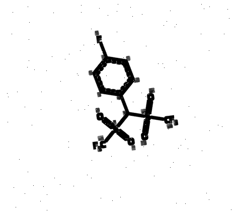 O=S(=O)(C(c1ccc(F)cc1)S(=O)(=O)C(F)(F)F)C(F)(F)F